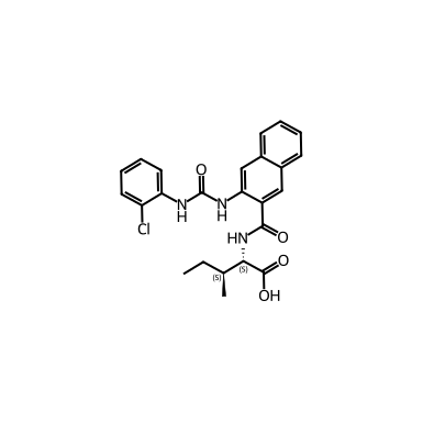 CC[C@H](C)[C@H](NC(=O)c1cc2ccccc2cc1NC(=O)Nc1ccccc1Cl)C(=O)O